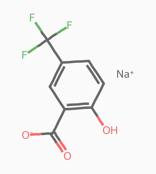 O=C([O-])c1cc(C(F)(F)F)ccc1O.[Na+]